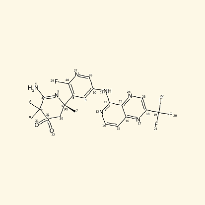 CC1(C)C(N)=N[C@](C)(c2cc(Nc3nccc4nc(C(F)(F)F)cnc34)cnc2F)CS1(=O)=O